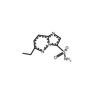 CCc1ccc2ncc(S(N)(=O)=O)n2n1